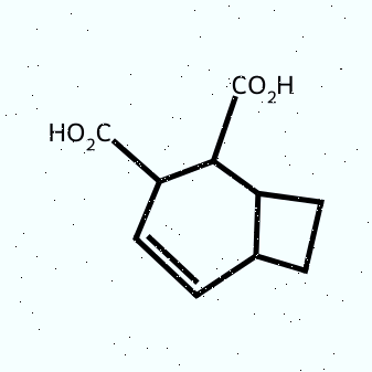 O=C(O)C1C=CC2CCC2C1C(=O)O